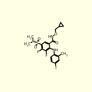 Cc1cc(I)ccc1Nc1c(C(=O)NOCC2CC2)cc(S(=O)(=O)N(C)C)c(F)c1F